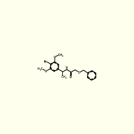 COc1cc(C(C)NC(=O)COCc2ccccc2)cc(OC)c1Br